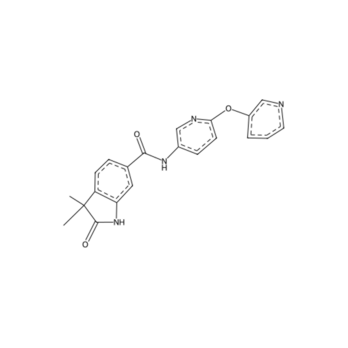 CC1(C)C(=O)Nc2cc(C(=O)Nc3ccc(Oc4cccnc4)nc3)ccc21